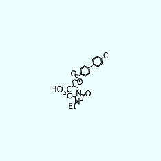 CCN1CC(=O)N(CC(CS(=O)(=O)c2ccc(-c3ccc(Cl)cc3)cc2)C(=O)O)C1=O